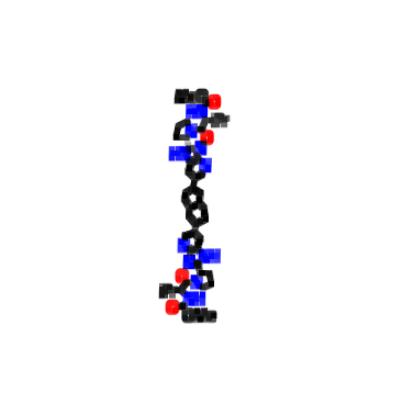 COC(=O)N[C@H](C(=O)N1CCC[C@@H]1c1nc2ncc(-c3ccc4cc(-c5cnc6nc([C@@H]7CCCN7C(=O)[C@@H](NC(=O)OC)C(C)C)[nH]c6c5)ccc4c3)cc2[nH]1)C(C)C